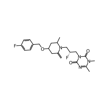 C=C1CC(OCc2ccc(F)cc2)CC(C)N1C[C@@H](F)Cn1c(=O)nc(C)n(C)c1=O